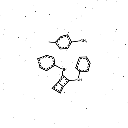 Cc1ccc(N)cc1.c1ccc(Nc2c3ccc-3c2Nc2ccccc2)cc1